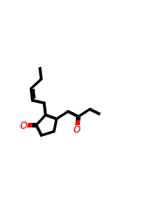 CC/C=C\CC1C(=O)CCC1CC(=O)CC